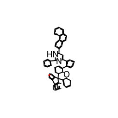 C1=CCC2OC3C(c4ccccc4C4=CC(c5ccc6c(ccc7ccccc76)c5)NC(c5ccccc5)=N4)=CC=CC3C3(C2=C1)c1ccccc1-c1ccccc13